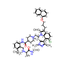 CCCC(C(=O)NC=O)N(C)Cc1c(C=O)cccc1NC(=O)C1CCN(CCn2c(C=O)c(CCCOc3cccc4ccccc34)c3ccc(Cl)c(-c4c(C)nn(C)c4C)c32)CC1